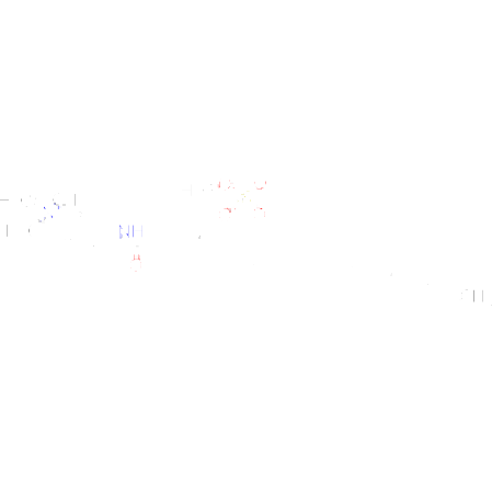 CCCCCCCCCCCCCCCCCC(=O)NCCC[N+](C)(C)C.COS(=O)(=O)[O-]